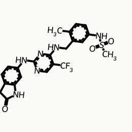 Cc1ccc(NS(C)(=O)=O)cc1CNc1nc(Nc2ccc3c(c2)NC(=O)C3)ncc1C(F)(F)F